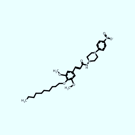 CCCCCCCCCCOc1c(OC)cc(C=CC(=O)NN2CCN(c3ccc([N+](=O)[O-])cc3)CC2)cc1OC